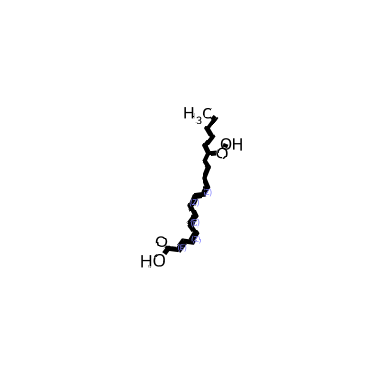 CCCCCC(CCC\C=C/C=C\C=C\C=C/C=C/C(=O)O)OO